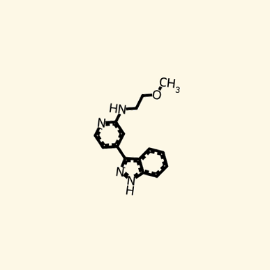 COCCNc1cc(-c2n[nH]c3ccccc23)ccn1